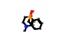 CN1CCP2(=O)CC3CC=CC2=C31